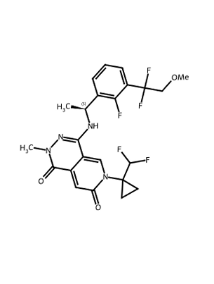 COCC(F)(F)c1cccc([C@H](C)Nc2nn(C)c(=O)c3cc(=O)n(C4(C(F)F)CC4)cc23)c1F